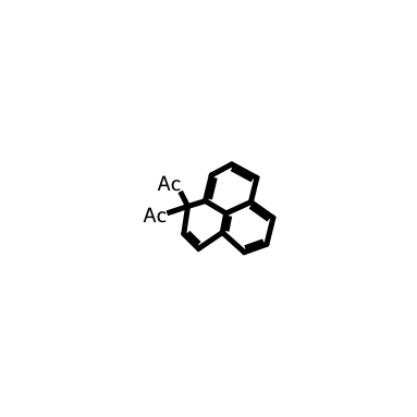 CC(=O)C1(C(C)=O)C=Cc2cccc3cccc1c23